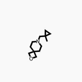 CC1(CN2CCC3(CC2)COC3)CC1